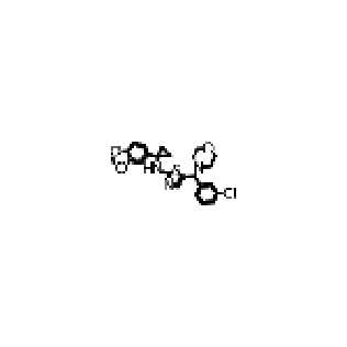 Clc1cccc(C(c2cnc(NC3(c4ccc5c(c4)OCO5)CC3)s2)N2CCOCC2)c1